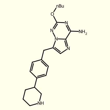 CCCCOc1nc(N)c2ncc(Cc3ccc(C4CCCNC4)cc3)n2n1